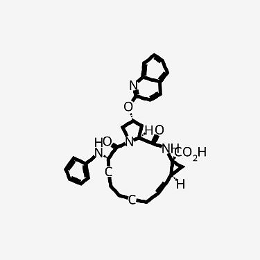 O=C1N[C@]2(C(=O)O)C[C@H]2/C=C\CCCCC[C@H](Nc2ccccc2)C(=O)N2C[C@H](Oc3ccc4ccccc4n3)C[C@@H]12